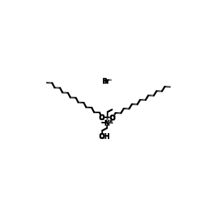 CCCCCCCCCCCCCCOC(CC)(OCCCCCCCCCCCCCC)[N+](C)(C)CCO.[Br-]